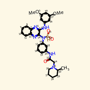 COc1cc(Nc2nc3ccccc3nc2N(c2cccc(NC(=O)CN3CCCCC3C)c2)[SH](=O)=O)cc(OC)c1